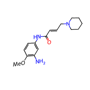 COc1ccc(NC(=O)/C=C/CN2CCCCC2)cc1N